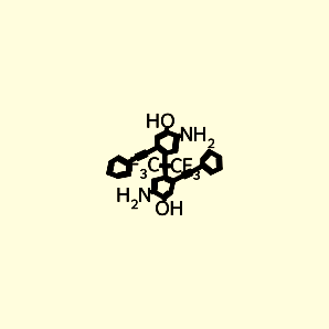 Nc1cc(C(c2cc(N)c(O)cc2C#Cc2ccccc2)(C(F)(F)F)C(F)(F)F)c(C#Cc2ccccc2)cc1O